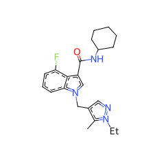 CCn1ncc(Cn2cc(C(=O)NC3CCCCC3)c3c(F)cccc32)c1C